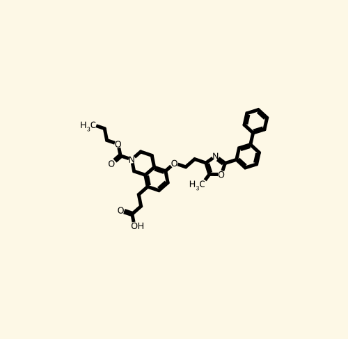 CCCOC(=O)N1CCc2c(OCCc3nc(-c4cccc(-c5ccccc5)c4)oc3C)ccc(CCC(=O)O)c2C1